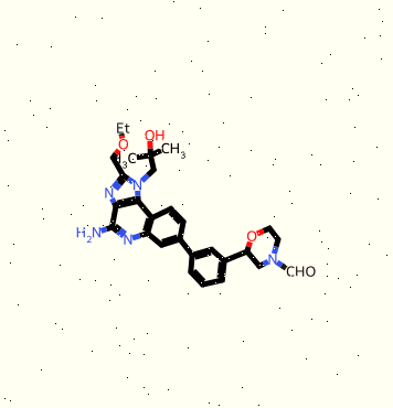 CCOCc1nc2c(N)nc3cc(-c4cccc(C5CN(C=O)CCO5)c4)ccc3c2n1CC(C)(C)O